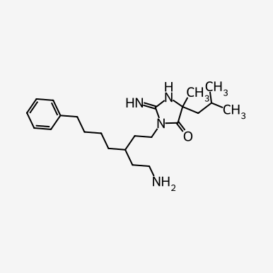 CC(C)CC1(C)NC(=N)N(CCC(CCN)CCCCc2ccccc2)C1=O